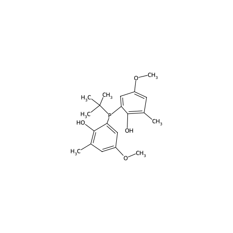 COc1cc(C)c(O)c(P(c2cc(OC)cc(C)c2O)C(C)(C)C)c1